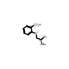 CCCC[C@H](CC)COc1ccccc1C(=O)O